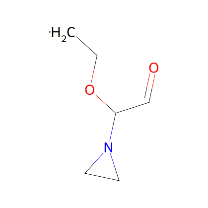 [CH2]COC(C=O)N1CC1